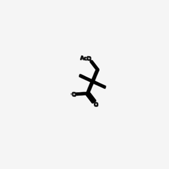 CC(=O)OCC(C)(C)C([O])=O